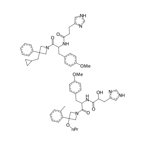 CCCOC1(c2ccccc2C)CN(C(=O)C(Cc2ccc(OC)cc2)NC(=O)C(O)Cc2c[nH]cn2)C1.COc1ccc(CC(NC(=O)CCc2c[nH]cn2)C(=O)N2CC(CC3CC3)(c3ccccc3)C2)cc1